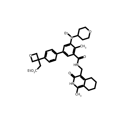 CCOC(=O)CC1(c2ccc(-c3cc(C(=O)NCc4c5c(c(C)[nH]c4=O)CCCC5)c(C)c(N(CC)C4CCOCC4)c3)cc2)COC1